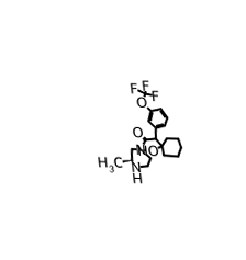 C[C@H]1CN(C(=O)C(c2cccc(OC(F)(F)F)c2)C2(O)CCCCC2)CCN1